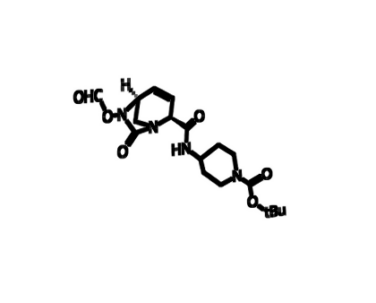 CC(C)(C)OC(=O)N1CCC(NC(=O)[C@@H]2C=C[C@H]3CN2C(=O)N3OC=O)CC1